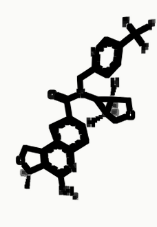 C[C@@H]1OCc2c1c(N)nc1ccc(C(=O)N(Cc3ccc(C(F)(F)F)cn3)C3[C@H]4COC[C@@H]34)cc21